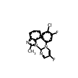 Cc1nc2ccccc2n1C1N=CC(F)=CN1c1ccc(Cl)c(F)c1